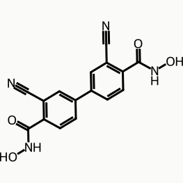 N#Cc1cc(-c2ccc(C(=O)NO)c(C#N)c2)ccc1C(=O)NO